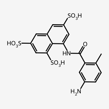 Cc1ccc(N)cc1C(=O)Nc1cc(S(=O)(=O)O)cc2cc(S(=O)(=O)O)cc(S(=O)(=O)O)c12